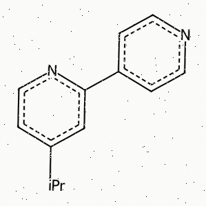 CC(C)c1ccnc(-c2ccncc2)c1